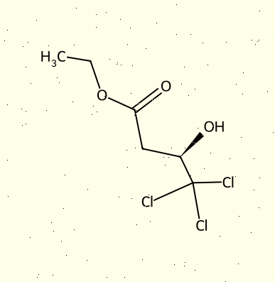 CCOC(=O)C[C@@H](O)C(Cl)(Cl)Cl